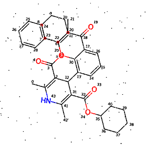 CC1=C(C(=O)OC2CCCCC2)C(c2cccc3c(=O)c(C)c(-c4ccccc4)oc23)C(C(=O)OC2CCCCC2)=C(C)N1